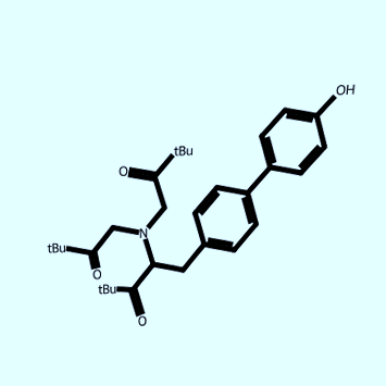 CC(C)(C)C(=O)CN(CC(=O)C(C)(C)C)C(Cc1ccc(-c2ccc(O)cc2)cc1)C(=O)C(C)(C)C